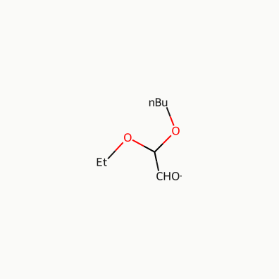 CCCCOC([C]=O)OCC